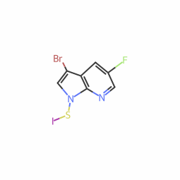 Fc1cnc2c(c1)c(Br)cn2SI